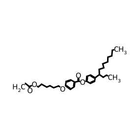 C=CC(=O)OCCCCCCOc1ccc(C(=O)Oc2ccc(C(CCC)CCCCCCCC)cc2)cc1